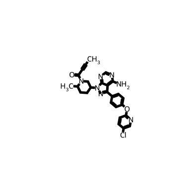 CC#CC(=O)N1CC(n2nc(-c3ccc(Oc4ccc(Cl)cn4)cc3)c3c(N)ncnc32)CCC1C